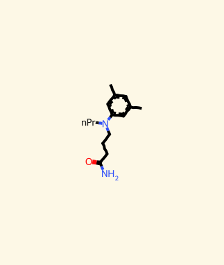 CCCN(CCCC(N)=O)c1cc(C)cc(C)c1